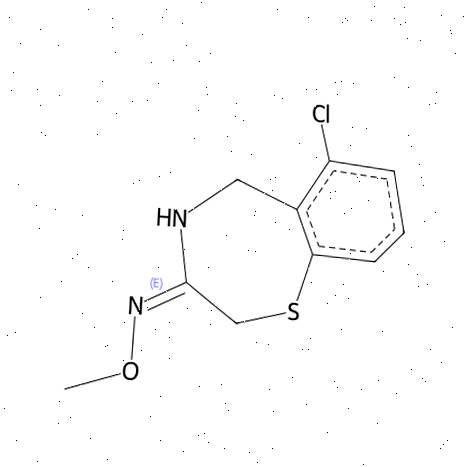 CO/N=C1\CSc2cccc(Cl)c2CN1